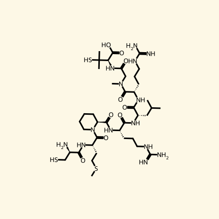 CSCC[C@H](NC(=O)[C@H](N)CS)C(=O)N1CCCC[C@H]1C(=O)N[C@@H](CCCNC(=N)N)C(=O)N[C@@H](CC(C)C)C(=O)N[C@@H](CCCNC(=N)N)C(=O)N(C)CC(=O)N[C@H](C(=O)O)C(C)(C)S